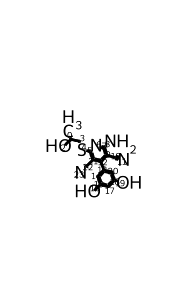 CC(O)CSc1nc(N)c(C#N)c(-c2cc(O)cc(O)c2)c1C#N